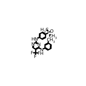 Cc1cccc(Nc2nc(Nc3ccc(P(C)(C)=O)cc3)ncc2C(F)(F)F)c1